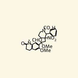 COc1cc2c(cc1C(C=O)(CC1([N+](=O)[O-])CCCN(C(=O)O)C1c1ccccc1)OC)N(C)C(=O)CC2